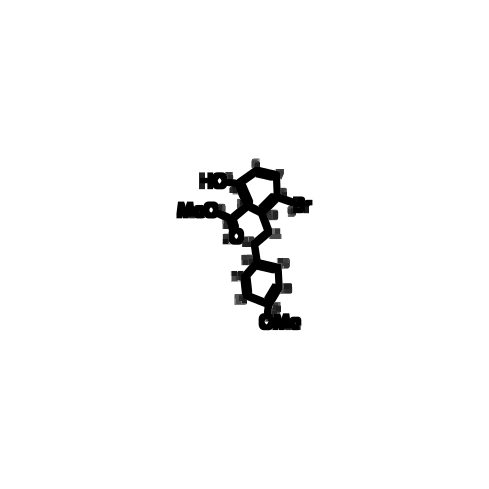 COC(=O)c1c(O)ccc(Br)c1CCc1ccc(OC)cc1